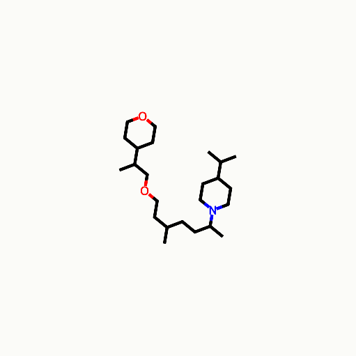 CC(CCOCC(C)C1CCOCC1)CCC(C)N1CCC(C(C)C)CC1